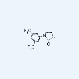 O=C1[CH]CCN1c1cc(C(F)(F)F)cc(C(F)(F)F)c1